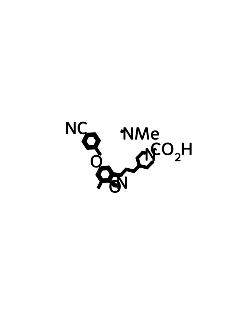 CNC.Cc1cc(OCc2ccc(C#N)cc2)cc2c(CCC3CCN(C(=O)O)CC3)noc12